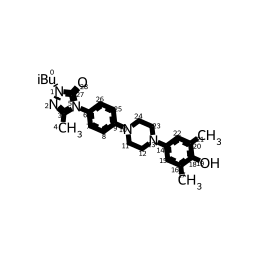 CCC(C)n1nc(C)n(-c2ccc(N3CCN(c4cc(C)c(O)c(C)c4)CC3)cc2)c1=O